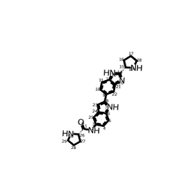 O=C(Nc1ccc2[nH]c(-c3ccc4[nH]c([C@@H]5CCCN5)nc4c3)cc2c1)[C@@H]1CCCN1